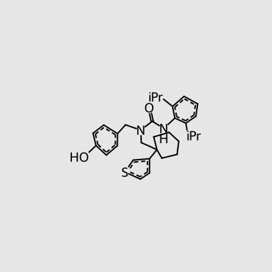 CC(C)c1cccc(C(C)C)c1NC(=O)N(Cc1ccc(O)cc1)CC1(c2ccsc2)CCCCC1